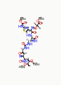 C=C(OCCCC)/C(=C\C(=[NH+]\[O-])c1cc(CNC(=O)NC[C@H]2NC(=O)[C@H]2NC(=O)/C(=N\OC(C)(C)C(=O)OC(C)(C)C)c2csc(NC(=O)OC(C)(C)C)n2)on1)OCCCC